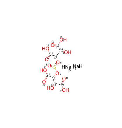 O=C(O)C(O)C(OS(=O)OC(C(=O)O)C(O)C(=O)O)C(=O)O.[NaH].[NaH]